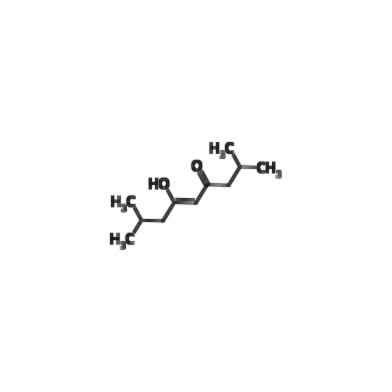 CC(C)CC(=O)/C=C(\O)CC(C)C